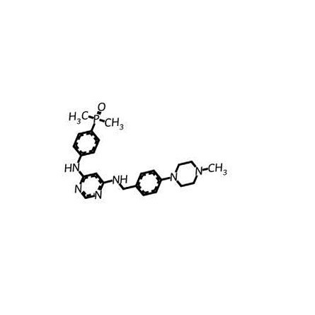 CN1CCN(c2ccc(CNc3cc(Nc4ccc(P(C)(C)=O)cc4)ncn3)cc2)CC1